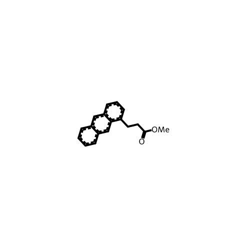 COC(=O)CCc1cccc2cc3ccccc3cc12